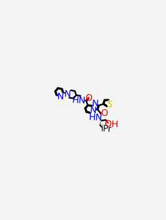 CC(C)C[C@@H](CO)NC(=O)c1c(-c2ccsc2)nc2c(C(=O)NCC3CCN(c4ccccn4)CC3)cccn12